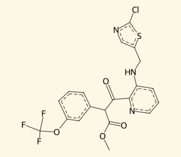 COC(=O)C(C(=O)c1ncccc1NCc1cnc(Cl)s1)c1cccc(OC(F)(F)F)c1